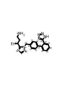 CCC(CCN)c1ncnn1Cc1ccc(-c2ccccc2-c2nnn[nH]2)cc1